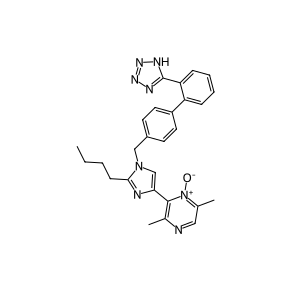 CCCCc1nc(-c2c(C)ncc(C)[n+]2[O-])cn1Cc1ccc(-c2ccccc2-c2nnn[nH]2)cc1